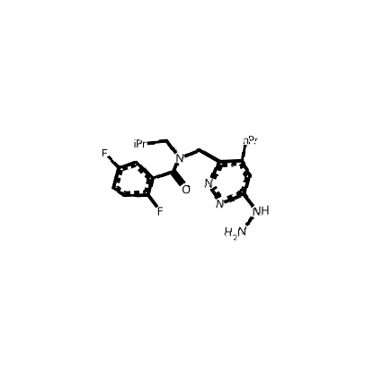 CCCc1cc(NN)nnc1CN(CC(C)C)C(=O)c1cc(F)ccc1F